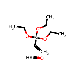 C=C[Si](OCC)(OCC)OCC.[O]=[AlH]